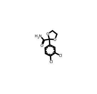 NC(=O)C1(c2ccc(Cl)c(Cl)c2)OCCO1